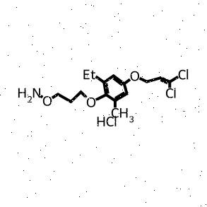 CCc1cc(OCC=C(Cl)Cl)cc(C)c1OCCCON.Cl